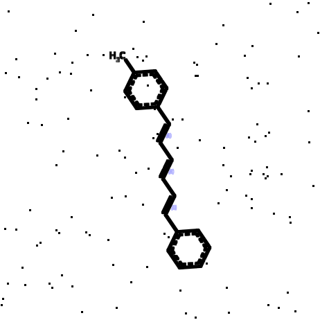 Cc1ccc(/C=C/C=C/C=C/c2ccccc2)cc1